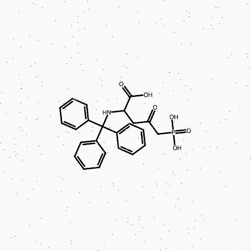 O=C(CC(NC(c1ccccc1)(c1ccccc1)c1ccccc1)C(=O)O)CP(=O)(O)O